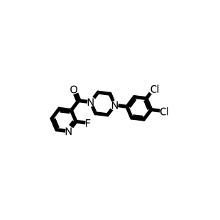 O=C(c1cccnc1F)N1CCN(c2ccc(Cl)c(Cl)c2)CC1